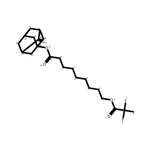 CC(F)(F)C(=O)OCCCCCCCCC(=O)OC12CC3CC(C1)C(=O)C(C3)C2